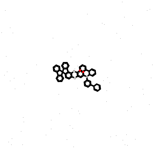 C1=CCC(c2cccc(N(c3ccc4c(c3)Oc3ccc5c(c3O4)-c3ccccc3C53c4ccccc4-c4ccccc43)C3C=CC=CC3c3ccccc3)c2)C=C1